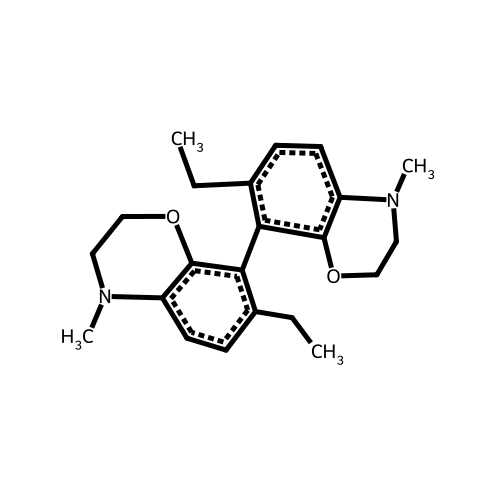 CCc1ccc2c(c1-c1c(CC)ccc3c1OCCN3C)OCCN2C